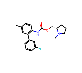 Cc1ccc(NC(=O)OC[C@@H]2CCCN2C)c(-c2cccc(F)c2)c1